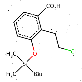 CC(C)(C)[Si](C)(C)Oc1cccc(C(=O)O)c1CCCl